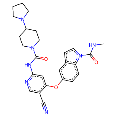 CNC(=O)n1ccc2cc(Oc3cc(NC(=O)N4CCC(N5CCCC5)CC4)ncc3C#N)ccc21